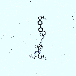 C=C/C=C(\C=C/C)N1CCN(CCCC[C@H]2CCc3cc(-c4ccc(C)cc4)ccc3O2)C1=O